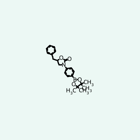 CC1(C)OB(c2ccc(N3CC(Cc4ccccc4)OC3=O)cc2)OC1(C)C